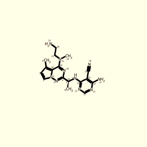 Cc1ccn2nc([C@H](C)Nc3ncnc(N)c3C#N)nc(N(C)CCN)c12